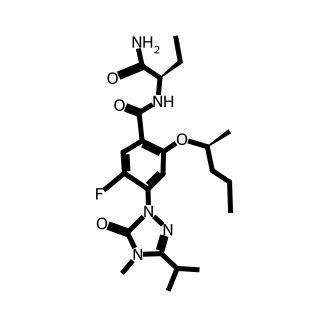 CCC[C@H](C)Oc1cc(-n2nc(C(C)C)n(C)c2=O)c(F)cc1C(=O)N[C@H](CC)C(N)=O